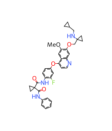 COc1cc2c(Oc3ccc(NC(=O)C4(C(=O)Nc5ccccc5)CC4)c(F)c3)ccnc2cc1OCC1(NCC2CC2)CC1